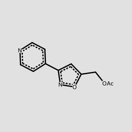 CC(=O)OCc1cc(-c2ccncc2)no1